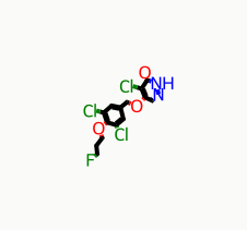 O=c1[nH]ncc(OCc2cc(Cl)c(OCCCF)c(Cl)c2)c1Cl